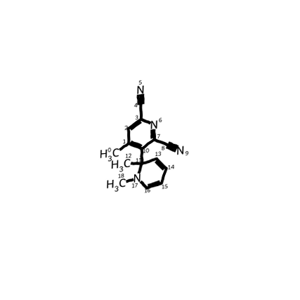 Cc1cc(C#N)nc(C#N)c1C1(C)C=CC=CN1C